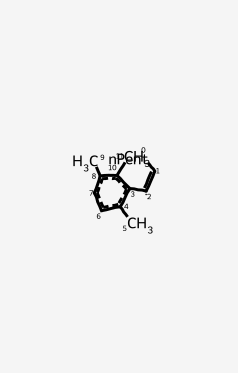 CCCCC/C=[C]\c1c(C)ccc(C)c1C